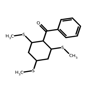 CSC1CC(SC)C(C(=O)c2ccccc2)C(SC)C1